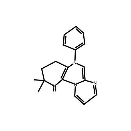 CC1(C)CCC2=C(N1)N1C=CC=NC1=CN2c1ccccc1